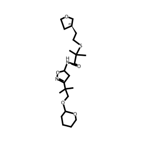 CC(C)(COC1CCCCO1)C1=NOC(NC(=O)C(C)(C)SCC[C@H]2CCOC2)C1